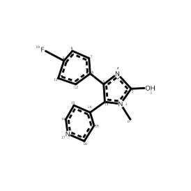 Cn1c(O)nc(-c2ccc(F)cc2)c1-c1ccncc1